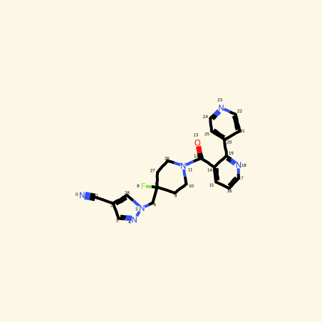 N#Cc1cnn(CC2(F)CCN(C(=O)c3cccnc3-c3ccncc3)CC2)c1